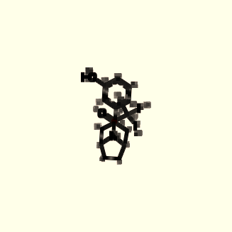 O=C(N1C2CCC1CC(c1cccc(O)c1)C2)C(F)(F)F